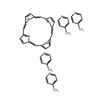 C1=Cc2cc3ccc(cc4nc(cc5ccc(cc1n2)[nH]5)C=C4)[nH]3.Cc1ccncc1.Cc1ccncc1.Cc1ccncc1.Cc1ccncc1